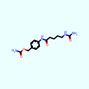 NC(=O)NCCCCC(=O)Nc1ccc(COC(N)=O)cc1